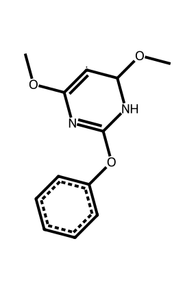 COC1=[C]C(OC)NC(Oc2ccccc2)=N1